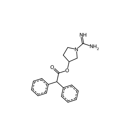 N=C(N)N1CCC(OC(=O)C(c2ccccc2)c2ccccc2)C1